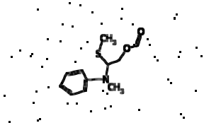 CSC(COC=O)N(C)c1ccccc1